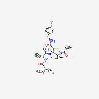 CNC(=O)N1C[C@H](C(=O)NCc2ccc(F)cc2)[C@@H]2[C@H]1CCN2C(=O)[C@@H](NC(=O)[C@H](C)NC)C(C)(C)C